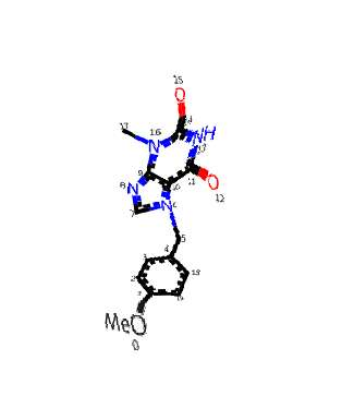 COc1ccc(Cn2cnc3c2c(=O)[nH]c(=O)n3C)cc1